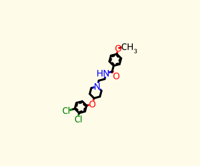 COc1ccc(C(=O)NCCN2CCC(Oc3ccc(Cl)c(Cl)c3)CC2)cc1